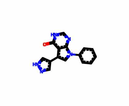 O=c1[nH]cnc2c1c(-c1cn[nH]c1)cn2-c1ccccc1